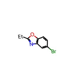 CCc1nc2cc(Br)ccc2o1